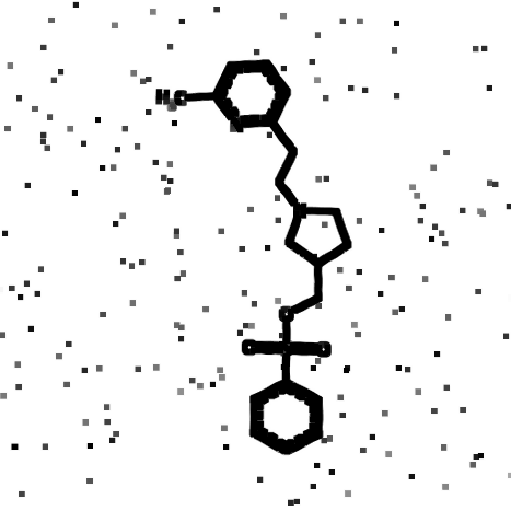 Cc1cccc(CCN2CCC(COS(=O)(=O)c3ccccc3)C2)n1